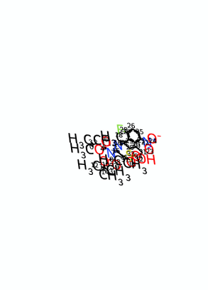 CC(C)(C)OC(=O)N(C(=O)OC(C)(C)C)C1=N[C@](C)(c2cc([N+](=O)[O-])ccc2F)C(CCO)S(=O)(=O)C1(C)C